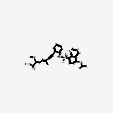 C=N/C(=C\C=C(/C)C#Cc1ccccc1NS(=O)(=O)c1ccc(OC(C)C)c2cccnc12)C(=O)O